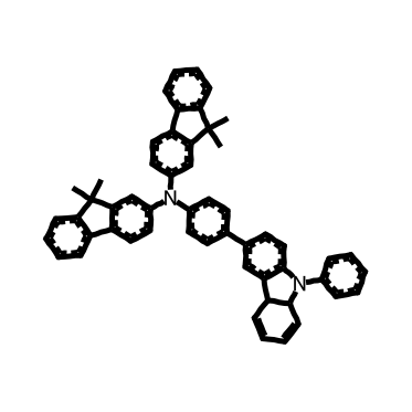 CC1(C)c2ccccc2-c2ccc(N(c3ccc(-c4ccc5c(c4)C4C=CC=CC4N5c4ccccc4)cc3)c3ccc4c(c3)C(C)(C)c3ccccc3-4)cc21